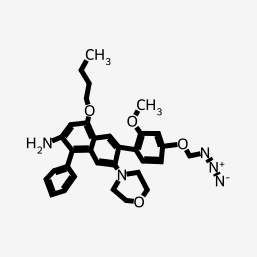 CCCCOc1cc(N)c(-c2ccccc2)c2cc(N3CCOCC3)c(-c3ccc(OCN=[N+]=[N-])cc3OC)cc12